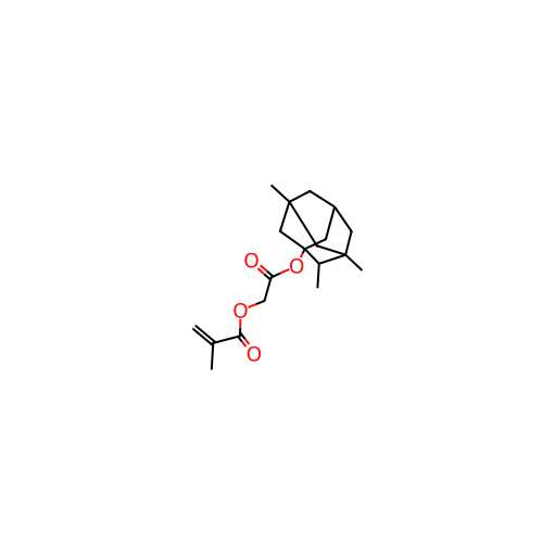 C=C(C)C(=O)OCC(=O)OC12CC3CC(C)(CC(C)(C3)C1C)C2